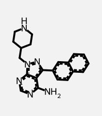 Nc1ncnc2c1c(-c1ccc3ccccc3c1)nn2CC1CCNCC1